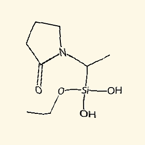 CCO[Si](O)(O)C(C)N1CCCC1=O